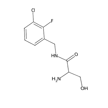 NC(CO)C(=O)NCc1cccc(Cl)c1F